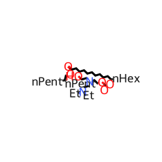 CCCCCCC(CCCCCCCCCC(=O)OCC(CCCCC)CCCCC)OC(=O)OCCN(CCO)CCN(CC)CC